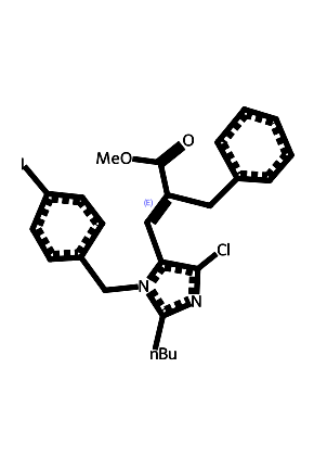 CCCCc1nc(Cl)c(/C=C(\Cc2ccccc2)C(=O)OC)n1Cc1ccc(I)cc1